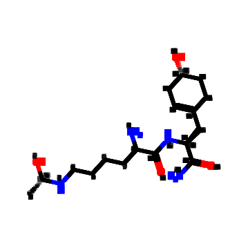 C[C@H](O)NCCCCC(N)C(=O)N[C@@H](CC1=CC[C@H](O)CC1)C(N)=O